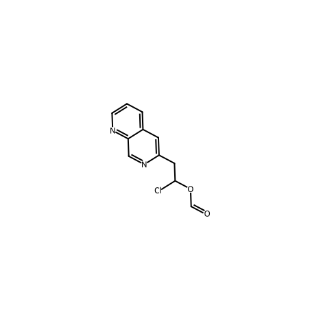 O=COC(Cl)Cc1cc2cccnc2cn1